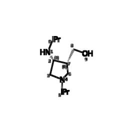 CC(C)N[C@H]1CN(C(C)C)C[C@H]1CO